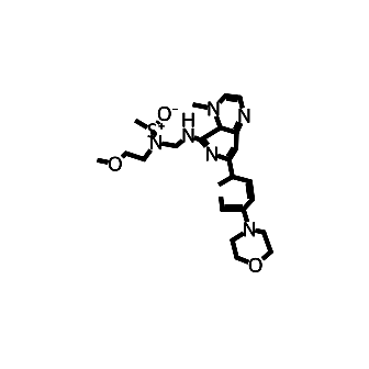 C/C=C(\C=C/C(C)C1=CC2=NC=CN(C)C2C(NCN(CCOC)[S+](C)[O-])=N1)N1CCOCC1